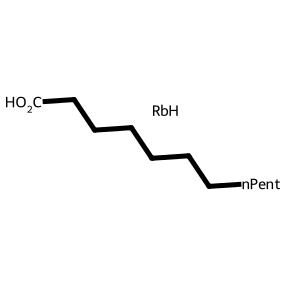 CCCCCCCCCCCC(=O)O.[RbH]